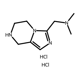 CN(C)Cc1ncc2n1CCNC2.Cl.Cl